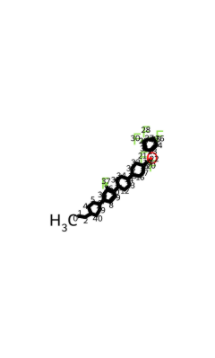 CCCC1CCC(c2ccc(C3CCC(C4CCC(C(F)(F)Oc5cc(F)c(F)c(F)c5)CC4)CC3)c(F)c2)CC1